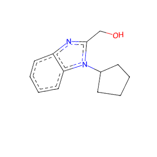 OCc1nc2ccccc2n1C1CCCC1